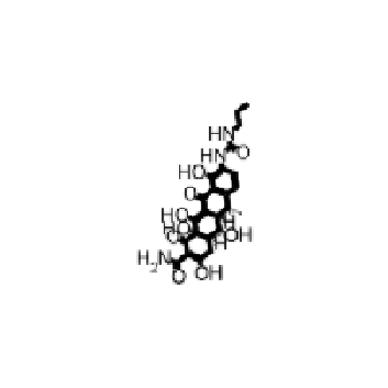 CCCNC(=O)Nc1ccc2c(c1O)C(=O)C1=C(O)[C@]3(O)C(=O)C(C(N)=O)=C(O)C[C@@H]3[C@@H](O)[C@@H]1[C@H]2C